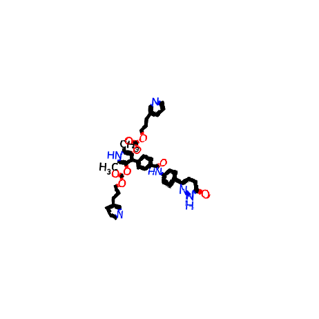 CC1=C(OC(=O)OCCCc2cccnc2)C(c2ccc(C(=O)Nc3ccc(C4=NNC(=O)CC4)cc3)cc2)C(OC(=O)OCCCc2cccnc2)=C(C)N1